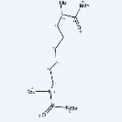 CNC(=O)N(CCCCCCN(C(=O)NC)C(C)(C)C)C(C)(C)C